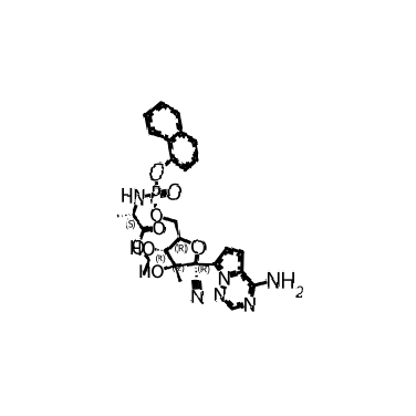 CCOC(=O)[C@H](C)NP(=O)(OC[C@H]1O[C@@](C#N)(c2ccc3c(N)ncnn23)[C@](C)(O)[C@@H]1O)Oc1cccc2ccccc12